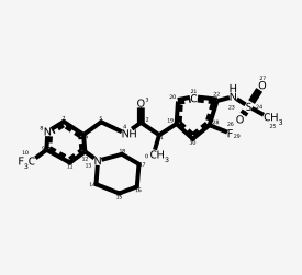 CC(C(=O)NCc1cnc(C(F)(F)F)cc1N1CCCCC1)c1ccc(NS(C)(=O)=O)c(F)c1